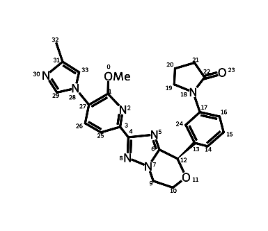 COc1nc(-c2nc3n(n2)CCO[C@@H]3c2cccc(N3CCCC3=O)c2)ccc1-n1cnc(C)c1